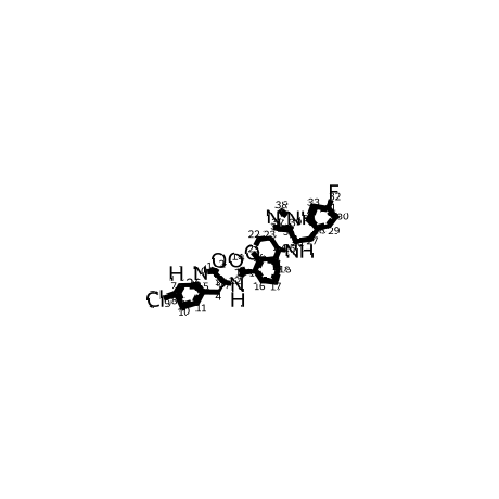 NC(=O)[C@H](Cc1ccc(Cl)cc1)NC(=O)c1cccc2c1OCCC2NC(Cc1ccc(F)cc1)c1cnc[nH]1